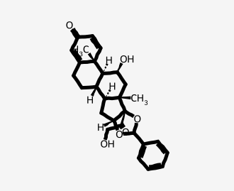 C[C@]12C=CC(=O)C=C1CC[C@@H]1[C@@H]2[C@@H](O)C[C@@]2(C)[C@H]1C[C@H]1OC(c3ccccc3)O[C@]12C(=O)CO